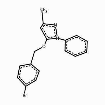 FC(F)(F)c1cc(OCc2ccc(Br)cc2)n(-c2ccccc2)n1